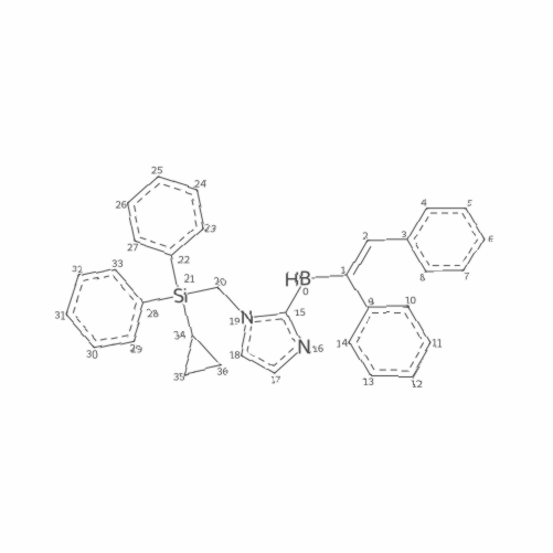 B(C(=Cc1ccccc1)c1ccccc1)c1nccn1C[Si](c1ccccc1)(c1ccccc1)C1CC1